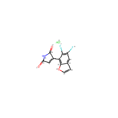 Cl.O=C1C=C(c2c(F)c(F)cc3ccoc23)C(=O)N1